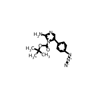 CC(C)(C)OC(=O)n1c(-c2ccc(N=[N+]=[N-])cc2)cnc1N